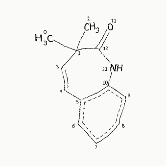 CC1(C)C=Cc2ccccc2NC1=O